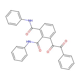 O=C(C(=O)c1cccc(C(=O)Nc2ccccc2)c1C(=O)Nc1ccccc1)c1ccccc1